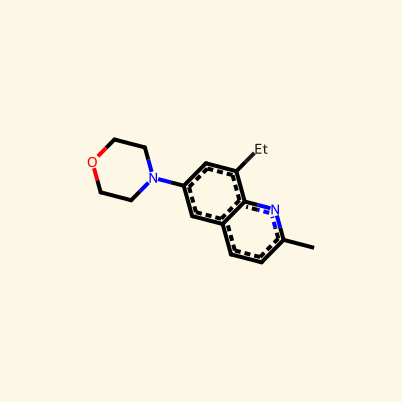 [CH2]Cc1cc(N2CCOCC2)cc2ccc(C)nc12